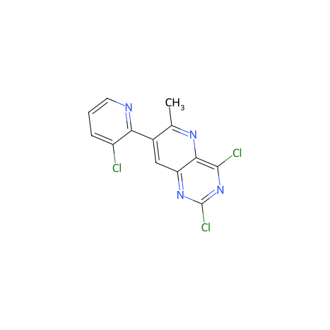 Cc1nc2c(Cl)nc(Cl)nc2cc1-c1ncccc1Cl